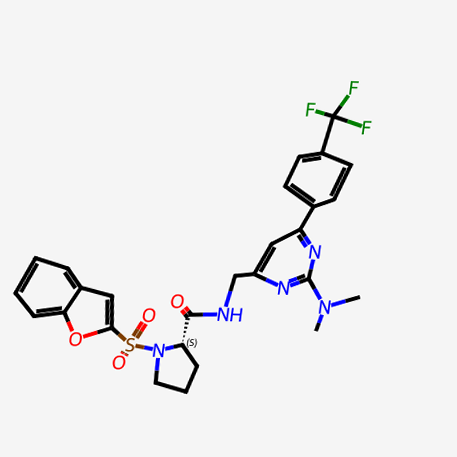 CN(C)c1nc(CNC(=O)[C@@H]2CCCN2S(=O)(=O)c2cc3ccccc3o2)cc(-c2ccc(C(F)(F)F)cc2)n1